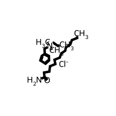 CCCCCCCCCCCCCC(N)=O.CCC[N+](C)(C)Cc1ccccc1.[Cl-]